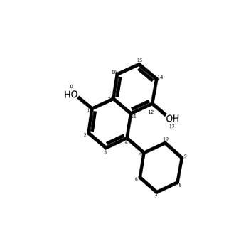 Oc1ccc(C2CCCCC2)c2c(O)cccc12